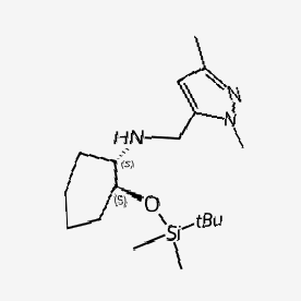 Cc1cc(CN[C@H]2CCCC[C@@H]2O[Si](C)(C)C(C)(C)C)n(C)n1